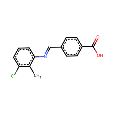 Cc1c(Cl)cccc1N=Cc1ccc(C(=O)O)cc1